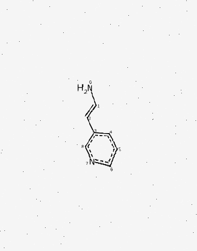 N/C=C/c1cccnc1